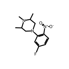 CC1CN(c2cc(F)ccc2[N+](=O)[O-])CC(C)N1C